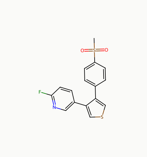 CS(=O)(=O)c1ccc(-c2cscc2-c2ccc(F)nc2)cc1